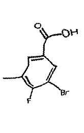 Cc1cc(C(=O)O)cc(Br)c1F